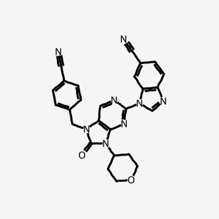 N#Cc1ccc(Cn2c(=O)n(C3CCOCC3)c3nc(-n4cnc5ccc(C#N)cc54)ncc32)cc1